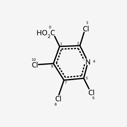 O=C(O)c1c(Cl)nc(Cl)c(Cl)c1Cl